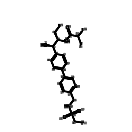 O=C(N[C@H](CF)[C@H](O)c1ccc(-c2ccc(CNS(=O)(=O)CF)nc2)cc1)C(F)F